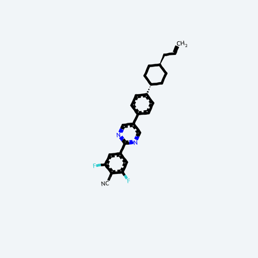 C=CC[C@H]1CC[C@H](c2ccc(-c3cnc(-c4cc(F)c(C#N)c(F)c4)nc3)cc2)CC1